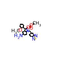 CCOC(=O)Oc1c(-c2ccccc2OC)c2cc(N)ccc2n1Cc1ccc2nsnc2c1